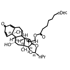 CCCCCCCCCCCCCCCC(=O)OCC(=O)[C@@]12O[C@H](CCC)O[C@@H]1C[C@H]1[C@@H]3CCC4=CC(=O)C=C[C@]4(C)[C@H]3[C@@H](O)C[C@@]12C